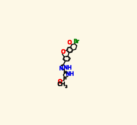 COC[C@@H]1CN[C@H](c2ncc(-c3ccc4c(c3)COc3cc5c(cc3-4)CCC(Br)C5=O)[nH]2)C1